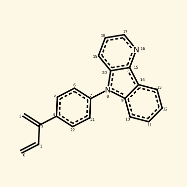 C=CC(=C)c1ccc(-n2c3ccccc3c3ncccc32)cc1